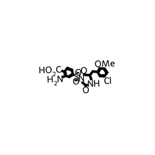 COc1ccc(Cl)cc1CC1CNC(=O)CN(S(=O)(=O)c2ccc(C(=O)O)c(N)c2)C1=O